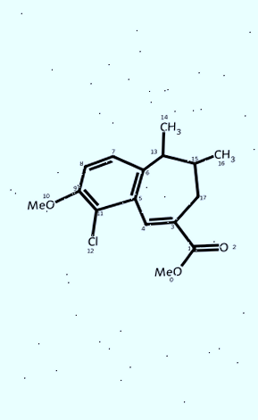 COC(=O)C1=Cc2c(ccc(OC)c2Cl)C(C)C(C)C1